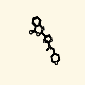 CN(CC1CCOCC1)c1nc(-c2nc3ccccc3c(=O)o2)cs1